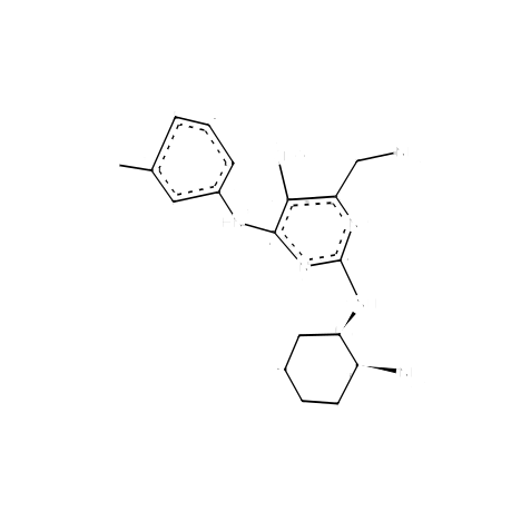 NCc1nc(N[C@@H]2CCCC[C@@H]2N)nc(Nc2cccc(C(F)(F)F)c2)c1C=O